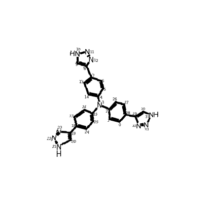 c1cc(N(c2ccc(-c3c[nH]nn3)cc2)c2ccc(-c3c[nH]nn3)cc2)ccc1-c1c[nH]nn1